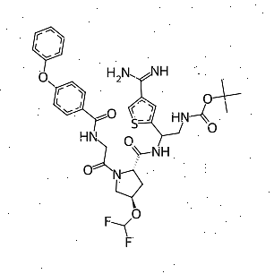 CC(C)(C)OC(=O)NCC(NC(=O)[C@@H]1C[C@@H](OC(F)F)CN1C(=O)CNC(=O)c1ccc(Oc2ccccc2)cc1)c1cc(C(=N)N)cs1